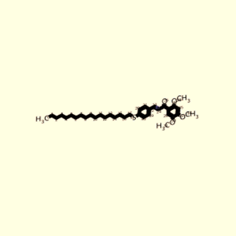 CCCCCCCCCCCCCCCCCCSc1ccc(/C=C/C(=O)c2cc(OC)c(OC)cc2OC)cc1